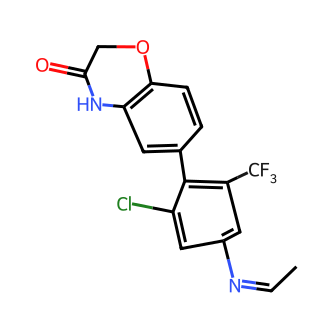 C/C=N\c1cc(Cl)c(-c2ccc3c(c2)NC(=O)CO3)c(C(F)(F)F)c1